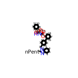 CCCCCc1nc2ccccc2n1Cc1ccc(-c2ccccc2OC(=O)NS(=O)(=O)c2ccccc2)cc1